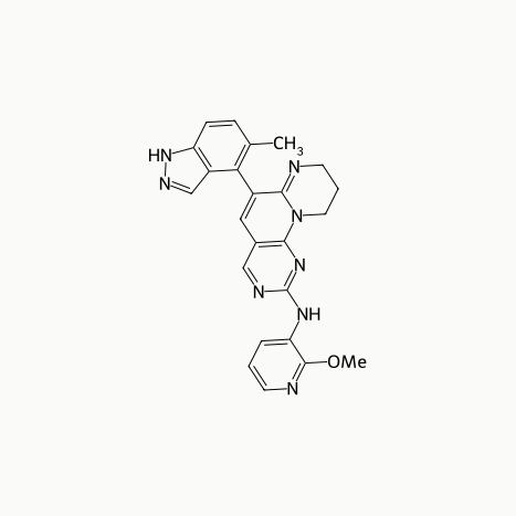 COc1ncccc1Nc1ncc2c(n1)N1CCCN=C1C(c1c(C)ccc3[nH]ncc13)=C2